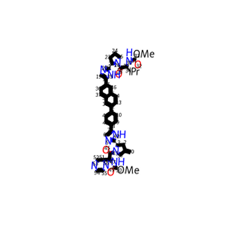 C=C1C[C@@H](c2ncc(-c3ccc(-c4ccc5cc(-c6cnc([C@@H]7CCCN7C(=O)[C@@H](NC(=O)OC)C(C)C)[nH]6)ccc5c4)cc3)[nH]2)N(C(=O)C2(NC(=O)OC)C3C=NC=CN32)C1